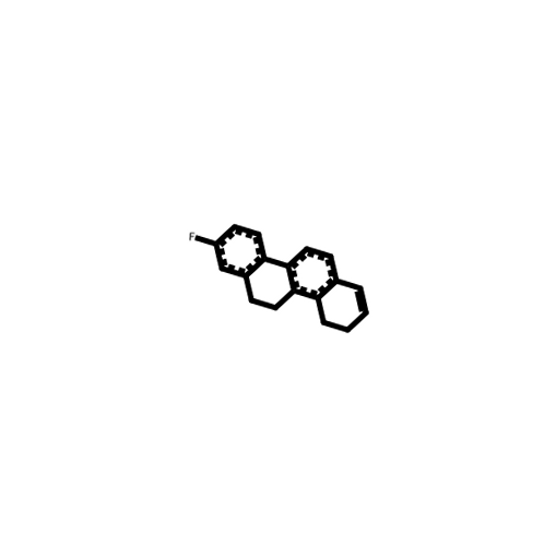 Fc1ccc2c(c1)CCc1c-2ccc2c1CCC=C2